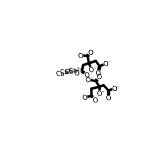 O=C([O-])CC([O-])(CC(=O)[O-])C(=O)[O-].O=C([O-])CC([O-])(CC(=O)[O-])C(=O)[O-].[Ca+2].[Ca+2].[Ca+2].[Ca+2]